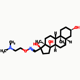 CN(C)CCON=C[C@@]1(O)CC[C@]2(O)[C@@H]3CC[C@@H]4C[C@@H](O)CC[C@]4(C)[C@H]3CC[C@]12C